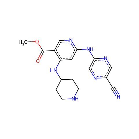 COC(=O)c1cnc(Nc2cnc(C#N)cn2)cc1NC1CCNCC1